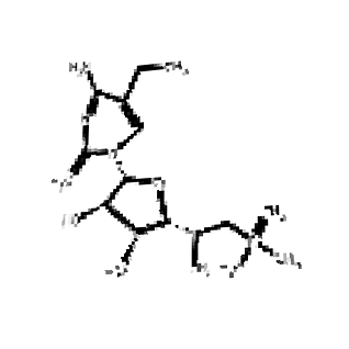 C=C1N=C(N)C(CC)=CN1[C@@H]1O[C@H](C(C)CP(=C)(C)C)[C@@H](O)[C@H]1O